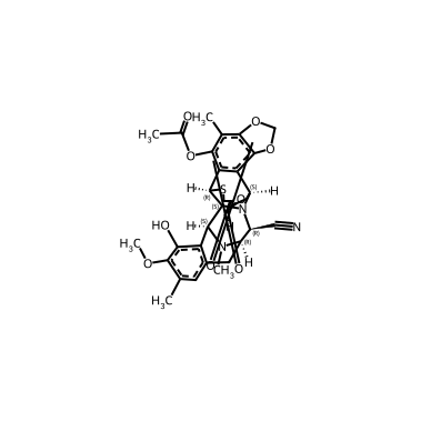 COc1c(C)cc2c(c1O)[C@H]1[C@H]3[C@@H]4SCC(=O)C(=O)OCC[C@@H](c5c6c(c(C)c(OC(C)=O)c54)OCO6)N3[C@@H](C#N)[C@@H](C2)N1C